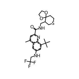 Cc1cc(C(=O)NCC2CSCCC23OCCO3)nc2c(C(C)(C)C)cc(NCC(F)(F)F)cc12